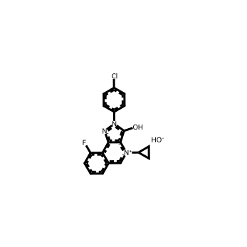 Oc1c2c(nn1-c1ccc(Cl)cc1)c1c(F)cccc1c[n+]2C1CC1.[OH-]